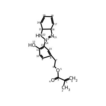 C=C(C)C(=O)OCCc1ccc(O)c([N+]2=NC3C=CC=CC3N2)c1